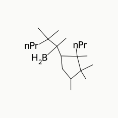 BC(C)(C1CC(C)C(C)(C)C1(C)CCC)C(C)(C)CCC